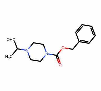 CC(C=O)N1CCN(C(=O)OCc2ccccc2)CC1